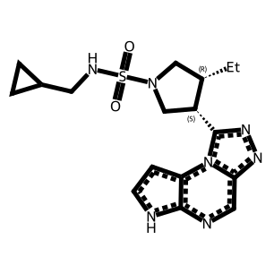 CC[C@H]1CN(S(=O)(=O)NCC2CC2)C[C@H]1c1nnc2cnc3[nH]ccc3n12